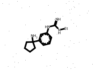 CCNC(=N)Nc1cccc(C2(N)CCCC2)c1